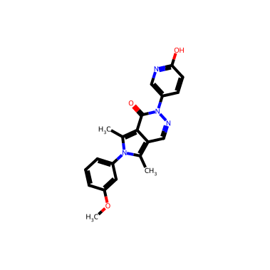 COc1cccc(-n2c(C)c3cnn(-c4ccc(O)nc4)c(=O)c3c2C)c1